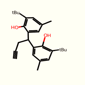 C#CCC(c1cc(C)cc(C(C)(C)C)c1O)c1cc(C)cc(C(C)(C)C)c1O